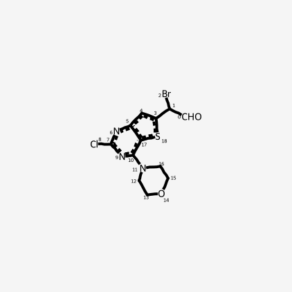 O=CC(Br)c1cc2nc(Cl)nc(N3CCOCC3)c2s1